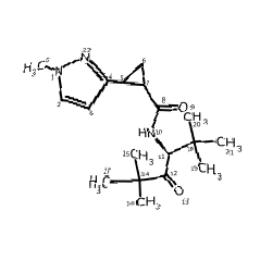 Cn1ccc(C2CC2C(=O)N[C@H](C(=O)C(C)(C)C)C(C)(C)C)n1